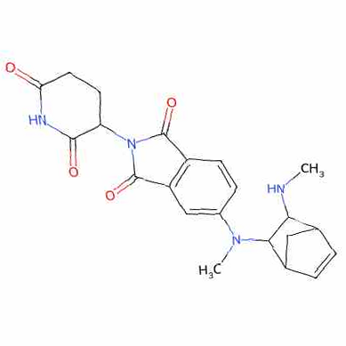 CNC1C2C=CC(C2)C1N(C)c1ccc2c(c1)C(=O)N(C1CCC(=O)NC1=O)C2=O